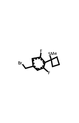 CSC1(c2c(F)cc(CBr)cc2F)CCC1